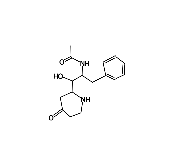 CC(=O)NC(Cc1ccccc1)C(O)C1CC(=O)CCN1